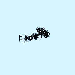 CN(C)c1ccc(NC(=O)NCCN2C(=O)C3(COc4cc5c(cc43)OCO5)c3ccccc32)cc1